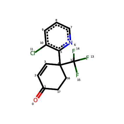 O=C1C=CC(c2ncccc2Cl)(C(F)(F)F)CC1